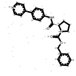 O=C(Nc1ccc(-c2ccncc2)cc1)[C@@H]1CCCN1C(=O)OCc1ccccc1